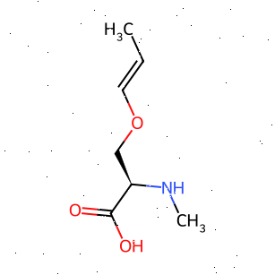 CC=COC[C@@H](NC)C(=O)O